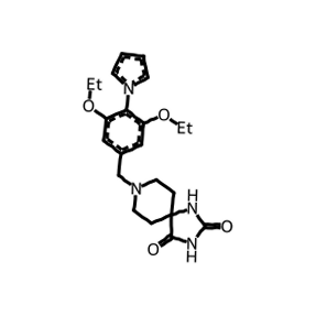 CCOc1cc(CN2CCC3(CC2)NC(=O)NC3=O)cc(OCC)c1-n1cccc1